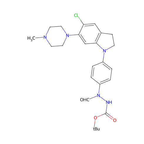 CN1CCN(c2cc3c(cc2Cl)CCN3c2ccc(N(C=O)NC(=O)OC(C)(C)C)cc2)CC1